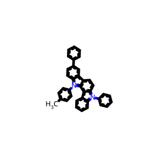 Cc1ccc(-n2c3ccc(-c4ccccc4)cc3c3ccc4c(c5ccccc5n4-c4ccccc4)c32)cc1